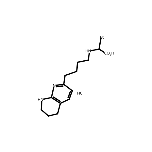 CCC(NCCCCc1ccc2c(n1)NCCC2)C(=O)O.Cl